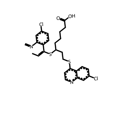 C=Nc1cc(Cl)ccc1/C(=C\C)SC(CCCCC(=O)O)CCSc1ccnc2cc(Cl)ccc12